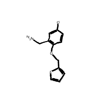 NCc1cc(Cl)ccc1OCc1cccs1